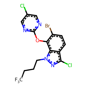 FC(F)(F)CCCn1nc(Cl)c2ccc(Br)c(Oc3ncc(Cl)cn3)c21